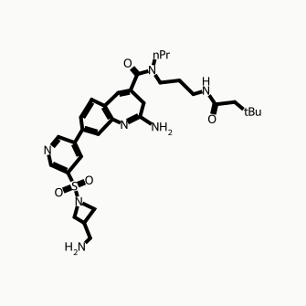 CCCN(CCCNC(=O)CC(C)(C)C)C(=O)C1=Cc2ccc(-c3cncc(S(=O)(=O)N4CC(CN)C4)c3)cc2N=C(N)C1